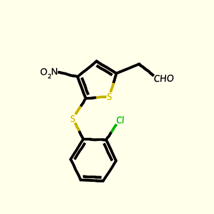 O=CCc1cc([N+](=O)[O-])c(Sc2ccccc2Cl)s1